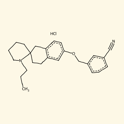 CCCN1CCCCC12CCc1cc(OCc3cccc(C#N)c3)ccc1C2.Cl